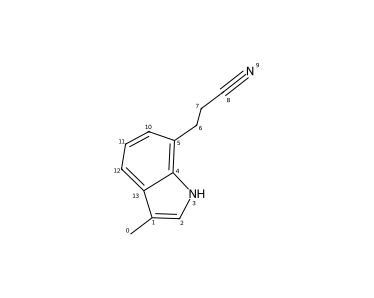 Cc1c[nH]c2c(CCC#N)cccc12